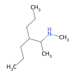 CCCC(CCC)C(C)NC